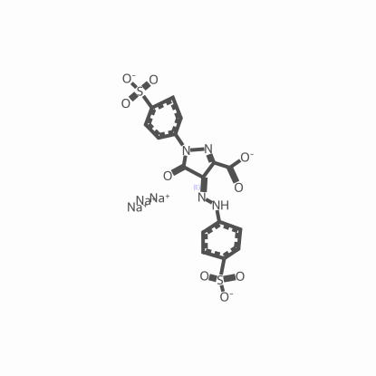 O=C([O-])C1=NN(c2ccc(S(=O)(=O)[O-])cc2)C(=O)/C1=N/Nc1ccc(S(=O)(=O)[O-])cc1.[Na+].[Na+].[Na+]